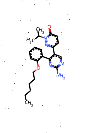 CCCCCCOc1ccccc1-c1nc(N)ncc1-c1ccc(=O)n(C(C)C)n1